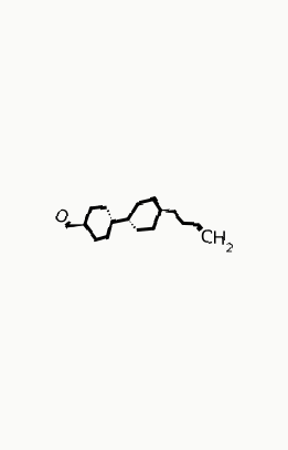 C=CCC[C@H]1CC[C@H]([C@H]2CC[C@H](C=O)CC2)CC1